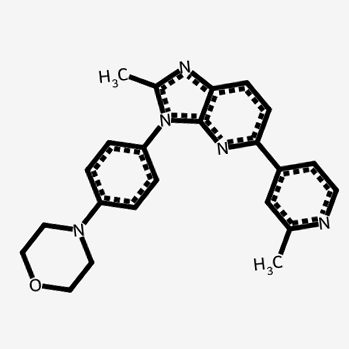 Cc1cc(-c2ccc3nc(C)n(-c4ccc(N5CCOCC5)cc4)c3n2)ccn1